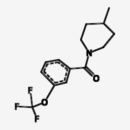 CC1CCN(C(=O)c2cccc(OC(F)(F)F)c2)CC1